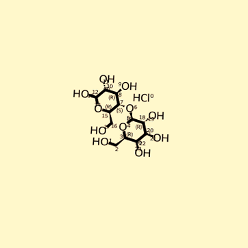 Cl.OC[C@H]1O[C@@H](O[C@H]2[C@H](O)[C@@H](O)C(O)O[C@@H]2CO)[C@H](O)[C@@H](O)[C@H]1O